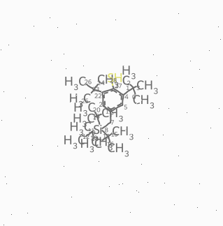 CC(C)(C)c1cc(C[Si](C(C)(C)C)(C(C)(C)C)C(C)(C)C)cc(C(C)(C)C)c1S